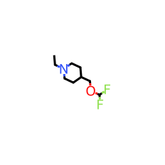 CCN1CCC(COC(F)F)CC1